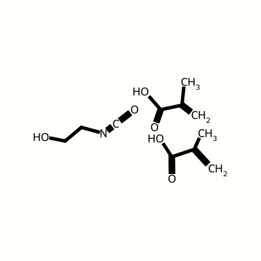 C=C(C)C(=O)O.C=C(C)C(=O)O.O=C=NCCO